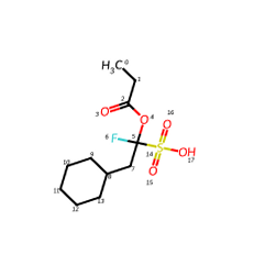 CCC(=O)OC(F)(CC1CCCCC1)S(=O)(=O)O